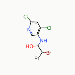 CCC(Br)C(O)Nc1cnc(Cl)cc1Cl